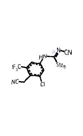 CS/C(=N\C#N)Nc1cc(Cl)c(CC#N)c(C(F)(F)F)c1